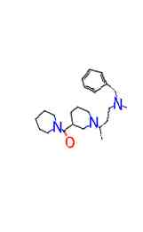 CC(CCN(C)Cc1ccccc1)N1CCCC(C(=O)N2CCCCC2)C1